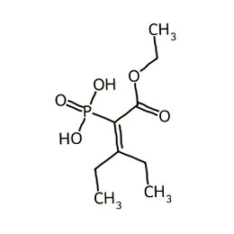 CCOC(=O)C(=C(CC)CC)P(=O)(O)O